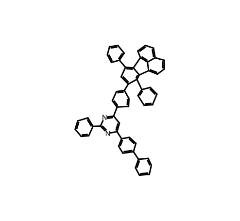 c1ccc(-c2ccc(-c3cc(-c4ccc(-c5cc(-c6ccccc6)c6c(c5-c5ccccc5)-c5cccc7cccc-6c57)cc4)nc(-c4ccccc4)n3)cc2)cc1